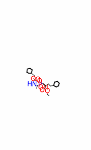 CCOC(=O)C(=CP(=O)(O)C(C)NC(=O)OCc1ccccc1)CCc1ccccc1